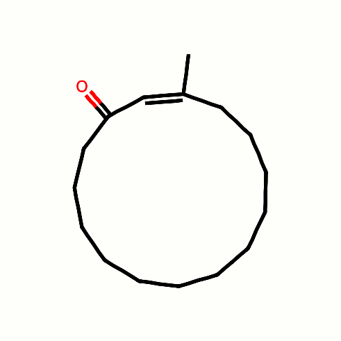 C/C1=C/C(=O)CCCCCCCCCCCC1